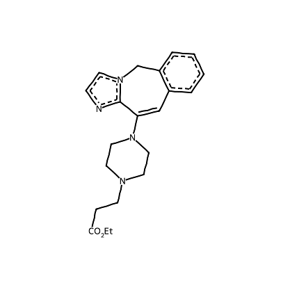 CCOC(=O)CCN1CCN(C2=Cc3ccccc3Cn3ccnc32)CC1